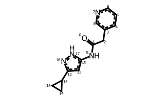 O=C(Cc1cccnc1)Nc1cc(C2CC2)n[nH]1